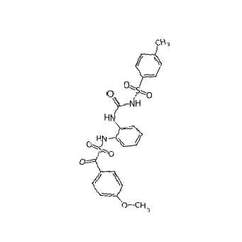 COc1ccc(C(=O)S(=O)(=O)Nc2ccccc2NC(=O)NS(=O)(=O)c2ccc(C)cc2)cc1